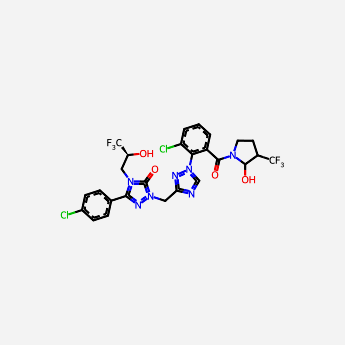 O=C(c1cccc(Cl)c1-n1cnc(Cn2nc(-c3ccc(Cl)cc3)n(C[C@H](O)C(F)(F)F)c2=O)n1)N1CCC(C(F)(F)F)C1O